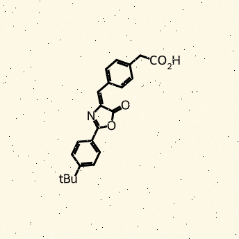 CC(C)(C)c1ccc(C2=NC(=Cc3ccc(CC(=O)O)cc3)C(=O)O2)cc1